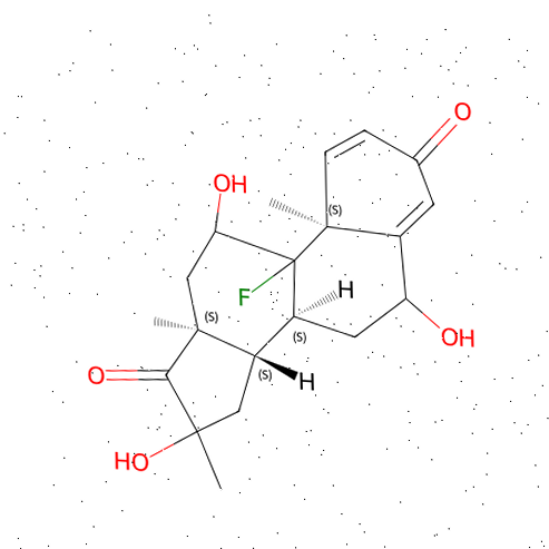 CC1(O)C[C@H]2[C@@H]3CC(O)C4=CC(=O)C=C[C@]4(C)C3(F)C(O)C[C@]2(C)C1=O